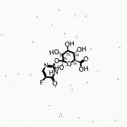 O=C(O)[C@H]1O[C@@](O)(Oc2ncc(F)c(=O)[nH]2)[C@H](O)[C@@H](O)[C@@H]1O